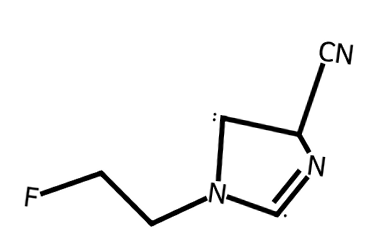 N#CC1[C]N(CCF)[C]=N1